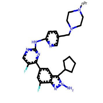 CCCN1CCN(Cc2ccc(Nc3ncc(F)c(-c4cc(F)c5nn(N)c(C6CCCC6)c5c4)n3)nc2)CC1